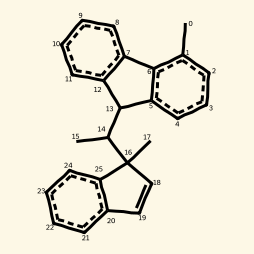 Cc1cccc2c1-c1ccccc1C2C(C)C1(C)C=Cc2ccccc21